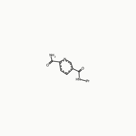 CC(C)NC(=O)c1ccc(C(N)=O)nc1